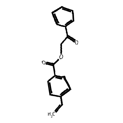 C=Cc1ccc(C(=O)OCC(=O)c2ccccc2)cc1